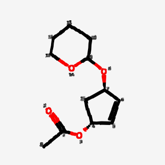 CC(=O)O[C@H]1C=C[C@H](OC2CCCCO2)C1